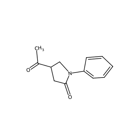 CC(=O)C1CC(=O)N(c2ccccc2)C1